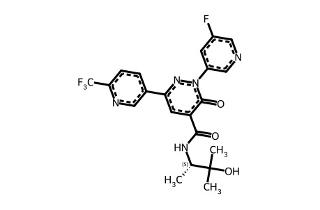 C[C@H](NC(=O)c1cc(-c2ccc(C(F)(F)F)nc2)nn(-c2cncc(F)c2)c1=O)C(C)(C)O